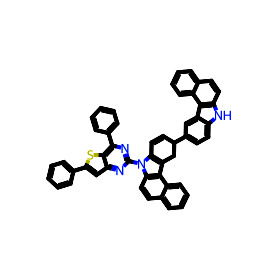 C1=CC(c2ccc3[nH]c4ccc5ccccc5c4c3c2)Cc2c1n(-c1nc(-c3ccccc3)c3sc(-c4ccccc4)cc3n1)c1ccc3ccccc3c21